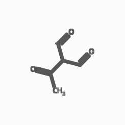 CC(=O)C([C]=O)C=O